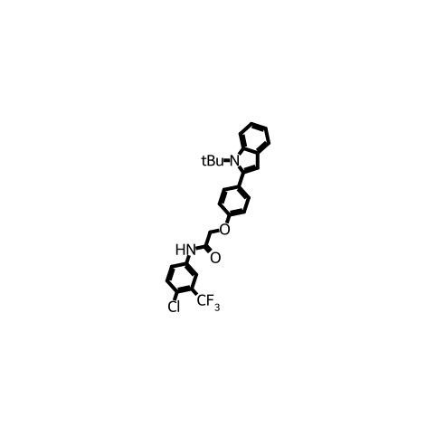 CC(C)(C)n1c(-c2ccc(OCC(=O)Nc3ccc(Cl)c(C(F)(F)F)c3)cc2)cc2ccccc21